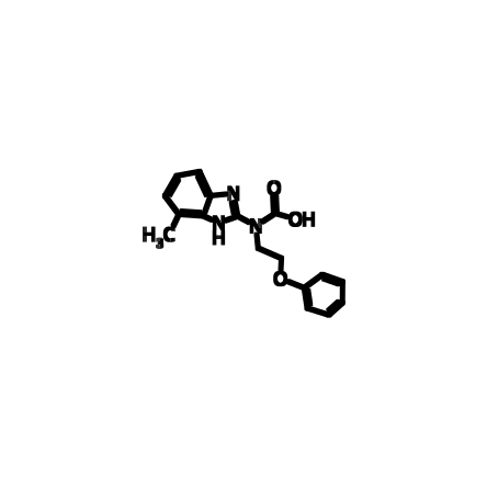 Cc1cccc2nc(N(CCOc3ccccc3)C(=O)O)[nH]c12